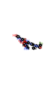 Cc1ccccc1[C@@H]1CN([C@@H]2CCOc3cc(F)c(F)cc32)CCN1C1CC2(CCN(c3ccc(C(=O)NS(=O)(=O)c4ccc(NCC5CCC(C)(O)CC5)c([N+](=O)[O-])c4)c(N4c5cc6cc[nH]c6nc5O[C@H]5COCC[C@@H]54)c3)CC2)C1